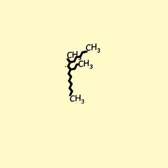 CCCCCCCCC([CH]C(CC)CCCCCC)CCC